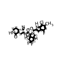 Cc1cc(F)c2cc(C(=O)N3C[C@H]4CC(F)(F)C[C@H]4[C@H]3C(=O)N[C@@H](C#N)C[C@H]3CCCNC3=O)[nH]c2c1Cl